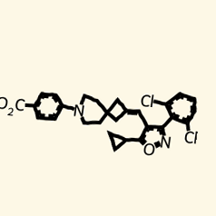 O=C(O)c1ccc(N2CCC3(CC2)CC(=Cc2c(-c4c(Cl)cccc4Cl)noc2C2CC2)C3)cc1